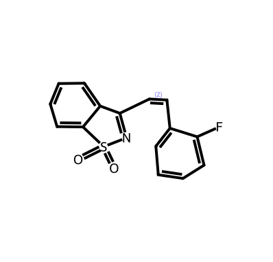 O=S1(=O)N=C(/C=C\c2ccccc2F)c2ccccc21